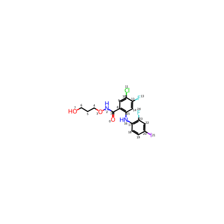 O=C(NOCCCO)c1cc(Cl)c(F)cc1Nc1ccc(I)cc1F